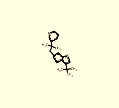 CC(C)(C)c1csc2cc(CC(C)(C)c3cccnc3)ccc12